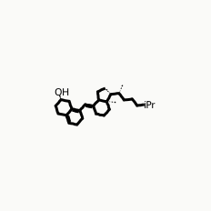 CC(C)CCC[C@@H](C)[C@H]1CCC2C(=CC3=C4C[C@@H](O)CCC4=CCC3)CCC[C@@]21C